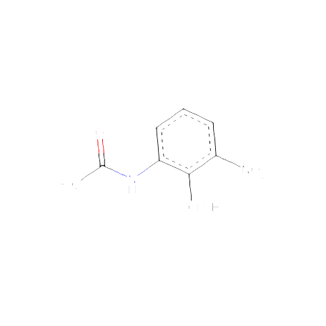 O=C(O)c1c(NC(=O)C(F)(F)F)cccc1[N+](=O)[O-]